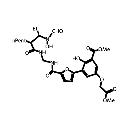 CCCCCC(C(=O)NCNC(=O)c1ccc(-c2cc(OCC(=O)OC)cc(C(=O)OC)c2O)o1)[C@@H](CC)N(O)C=O